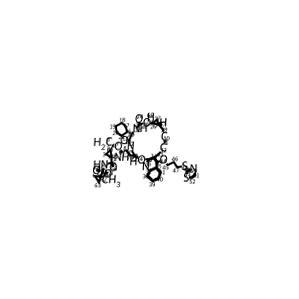 C=C[C@@H]1C[C@]1(NC(=O)[C@@H]1C[C@@H]2CN1C(=O)[C@H](C1CCCCC1)NC(=O)O[C@@H]1C[C@H]1CCCCCc1c(nc3ccccc3c1OCCCSc1nccs1)O2)C(=O)NS(=O)(=O)C1(C)CC1